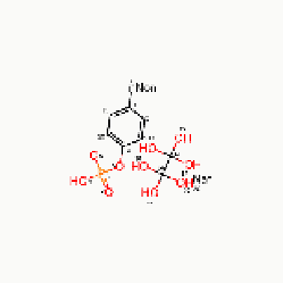 CCCCCCCCCc1ccc(OP(=O)([O-])O)cc1.OC(O)(O)C(O)(O)O.[Na+]